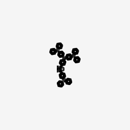 c1ccc(N(c2ccccc2)c2ccc(-c3nnc(-c4ccc(N(c5ccc(N(c6ccccc6)c6ccccc6)cc5)c5ccc(N(c6ccccc6)c6ccccc6)cc5)cc4)o3)cc2)cc1